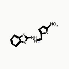 O=[N+]([O-])c1ccc(/C=N\Nc2nc3ccccc3s2)s1